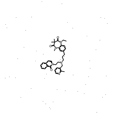 CCN1C(=O)C(C)(C)C(=O)N(C)c2cc(CCCN(CCn3ccc4ccccc4c3=O)Cc3cccnc3C)ccc21